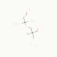 COCC(CO)(CO)COC(C)(C)CCO